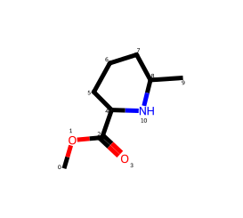 COC(=O)C1CCCC(C)N1